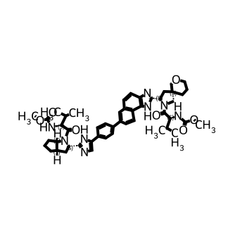 COC(=O)N[C@H](C(=O)N1C[C@]2(CCCOC2)C[C@H]1c1nc2ccc3cc(-c4ccc(-c5cnc([C@@H]6C[C@@H]7CCC[C@@H]7N6C(=O)[C@@H](NC(=O)OC)C(C)C)[nH]5)cc4)ccc3c2[nH]1)C(C)C